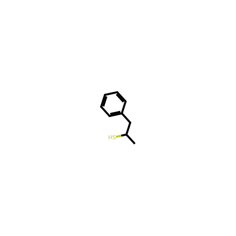 C[C](S)Cc1ccccc1